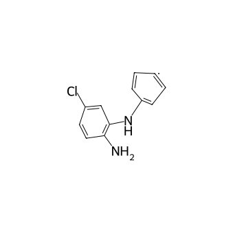 Nc1ccc(Cl)cc1Nc1cc[c]cc1